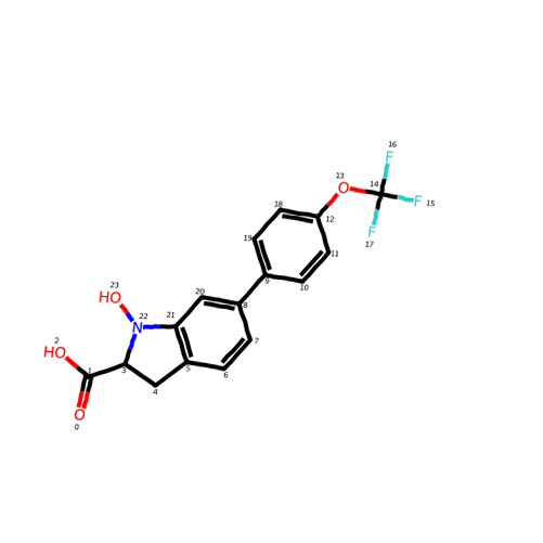 O=C(O)C1Cc2ccc(-c3ccc(OC(F)(F)F)cc3)cc2N1O